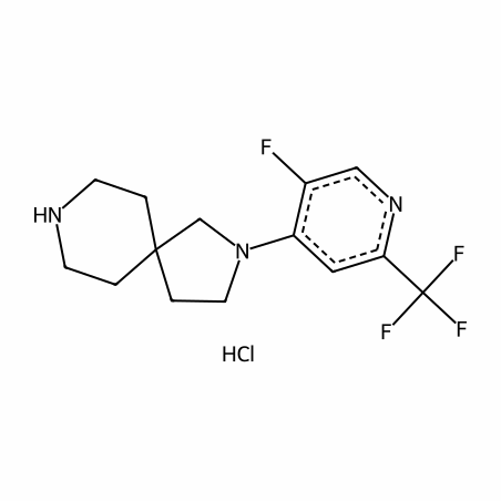 Cl.Fc1cnc(C(F)(F)F)cc1N1CCC2(CCNCC2)C1